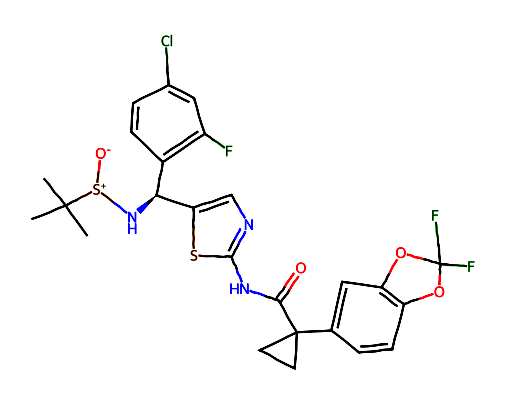 CC(C)(C)[S+]([O-])N[C@H](c1cnc(NC(=O)C2(c3ccc4c(c3)OC(F)(F)O4)CC2)s1)c1ccc(Cl)cc1F